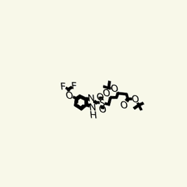 CC(C)(C)OC(=O)CC1CC(CS(=O)(=O)c2nc3cc(OC(F)F)ccc3[nH]2)OC(C)(C)O1